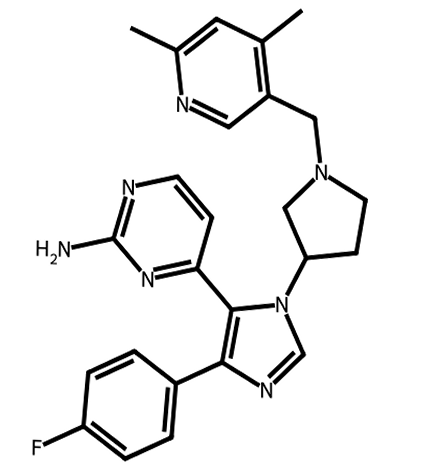 Cc1cc(C)c(CN2CCC(n3cnc(-c4ccc(F)cc4)c3-c3ccnc(N)n3)C2)cn1